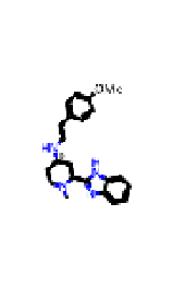 COc1ccc(CCN[C@@H]2CCN(C)C(c3nc4ccccc4[nH]3)C2)cc1